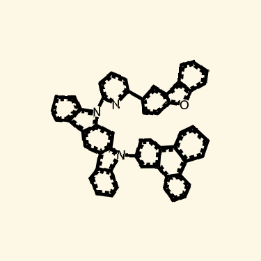 c1cc(-c2ccc3oc4ccccc4c3c2)nc(-n2c3ccccc3c3cc4c5ccccc5n(-c5ccc6c7ccccc7c7ccccc7c6c5)c4cc32)c1